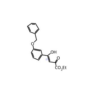 CCOC(=O)C(=O)/C=C(\O)c1cccc(OCc2ccccc2)c1